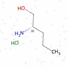 CCC[C@H](N)CO.Cl